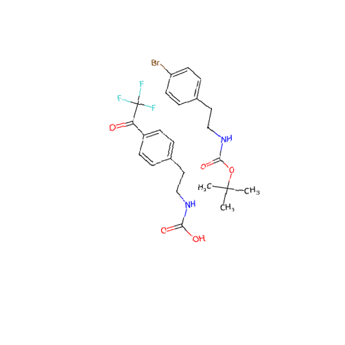 CC(C)(C)OC(=O)NCCc1ccc(Br)cc1.O=C(O)NCCc1ccc(C(=O)C(F)(F)F)cc1